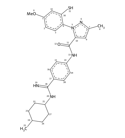 COc1ccc(-n2nc(C)cc2C(=O)Nc2ccc(C(=N)NC3CCC(C)CC3)cc2)c(S)c1